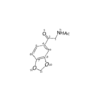 CC(=O)NCC(=O)c1ccc2c(c1)OCO2